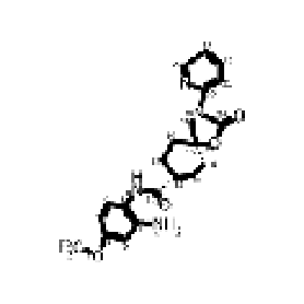 Nc1cc(OC(F)(F)F)ccc1NC(=O)[C@H]1CC[C@]2(CC1)CN(c1ccccn1)C(=O)O2